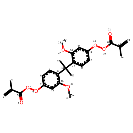 C=C(C)C(=O)OOc1ccc(C(C)(C)c2ccc(OOC(=O)C(=C)C)cc2OC(C)C)c(OC(C)C)c1